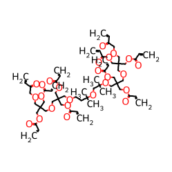 C=CC(=O)COCC(COCC(COCCC(C)(C)OCC(C)(C)OCC(COCC(COCC(=O)C=C)(COC(=O)C=C)COC(=O)C=C)(COC(=O)C=C)COC(=O)C=C)(COC(=O)C=C)COC(=O)C=C)(COC(=O)C=C)COC(=O)C=C